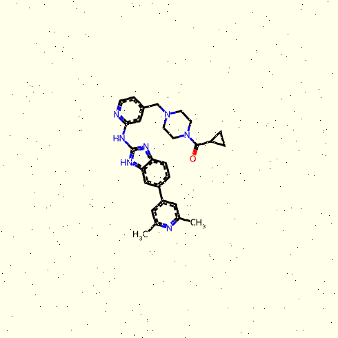 Cc1cc(-c2ccc3nc(Nc4cc(CN5CCN(C(=O)C6CC6)CC5)ccn4)[nH]c3c2)cc(C)n1